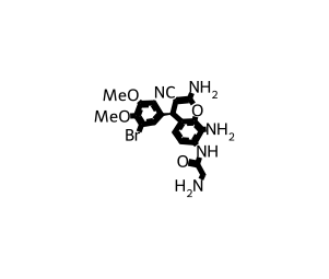 COc1cc([C@H]2C(C#N)=C(N)Oc3c2ccc(NC(=O)CN)c3N)cc(Br)c1OC